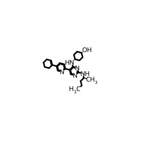 CCC[C@H](C)Nc1ncc(-c2ccc(C3=CCCCC3)cn2)c(N[C@H]2CC[C@H](O)CC2)n1